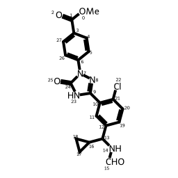 COC(=O)c1ccc(-n2nc(-c3cc(C(NC=O)C4CC4)ccc3Cl)[nH]c2=O)cc1